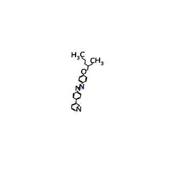 CCCCC(CC)COc1ccc(/N=N/c2ccc(-c3cccnc3)cc2)cc1